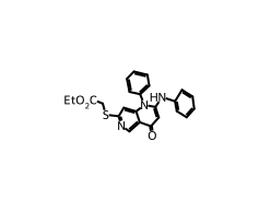 CCOC(=O)CSc1cc2c(cn1)c(=O)cc(Nc1ccccc1)n2-c1ccccc1